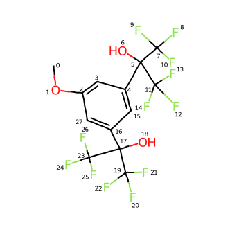 COc1cc(C(O)(C(F)(F)F)C(F)(F)F)cc(C(O)(C(F)(F)F)C(F)(F)F)c1